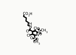 CS(=O)(=O)c1nc(S(C)(=O)=O)c(Cl)c(C(=O)NCCCCCC(=O)O)c1Cl